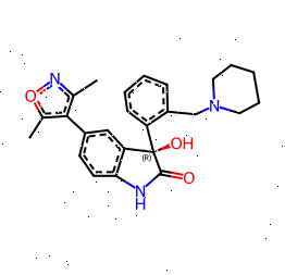 Cc1noc(C)c1-c1ccc2c(c1)[C@](O)(c1ccccc1CN1CCCCC1)C(=O)N2